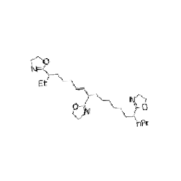 CCCC(CCCCCCC(CCCCCC(CC)C1=NCCO1)C1=NCCO1)C1=NCCO1